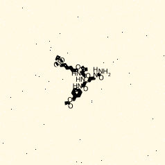 C=CS(=O)(=O)CCCCCC(=O)NC(C(=O)N[C@H](CCCNC(N)=O)C(=O)Nc1ccc(COC(C)=O)cc1)C(C)C